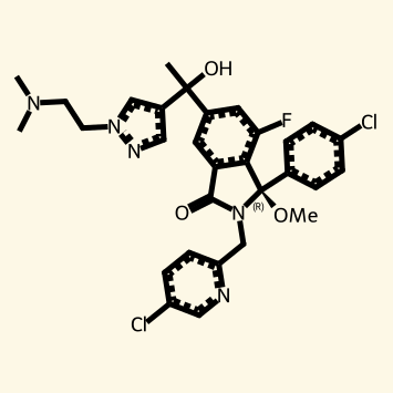 CO[C@]1(c2ccc(Cl)cc2)c2c(F)cc(C(C)(O)c3cnn(CCN(C)C)c3)cc2C(=O)N1Cc1ccc(Cl)cn1